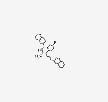 CC(NCc1ccc2ccccc2c1)C(CC=Cc1ccc2ccccc2c1)c1ccc(F)cc1